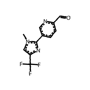 Cn1cc(C(F)(F)F)nc1-c1ccc(C=O)nc1